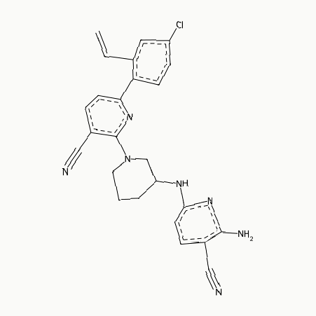 C=Cc1cc(Cl)ccc1-c1ccc(C#N)c(N2CCCC(Nc3ccc(C#N)c(N)n3)C2)n1